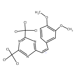 COc1ccc(/C=C\c2nc(C(Cl)(Cl)Cl)nc(C(Cl)(Cl)Cl)n2)cc1OC